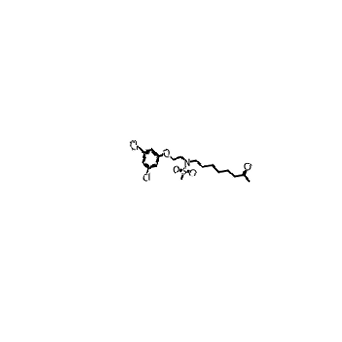 CC(=O)CCCCCCN(CCOc1cc(Cl)cc(Cl)c1)S(C)(=O)=O